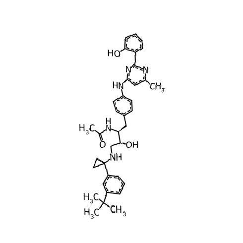 CC(=O)N[C@@H](Cc1ccc(Nc2cc(C)nc(-c3ccccc3O)n2)cc1)[C@@H](O)CNC1(c2cccc(C(C)(C)C)c2)CC1